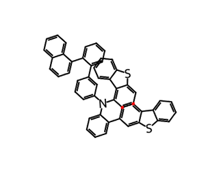 c1cc(-c2ccccc2-c2cccc3ccccc23)cc(N(c2ccccc2-c2ccc3c(c2)sc2ccccc23)c2cccc3sc4ccccc4c23)c1